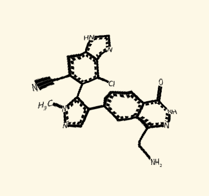 Cn1ncc(-c2ccc3c(=O)[nH]nc(CN)c3c2)c1-c1c(C#N)cc2[nH]cnc2c1Cl